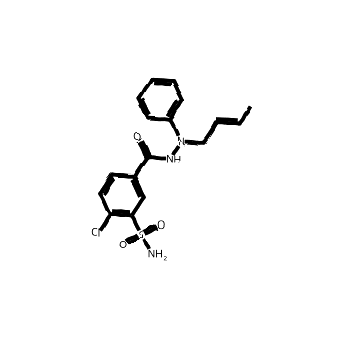 CC=CCN(NC(=O)c1ccc(Cl)c(S(N)(=O)=O)c1)c1ccccc1